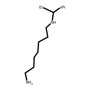 CCCC(CC)NCCCCCCCN